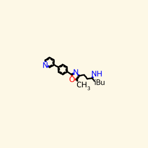 CCC(C)C(=N)CCc1nc(-c2ccc(-c3cccnc3)cc2)oc1C